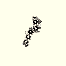 CCc1cc(Nc2ncc(Br)c(Nc3ccc4nccnc4c3P(C)(C)=O)n2)c(OC)cc1N1CCC(N2CCN[C@H](CO)C2)CC1